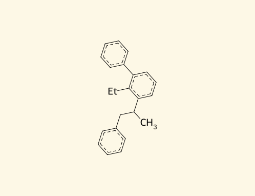 CCc1c(-c2ccccc2)cccc1C(C)Cc1ccccc1